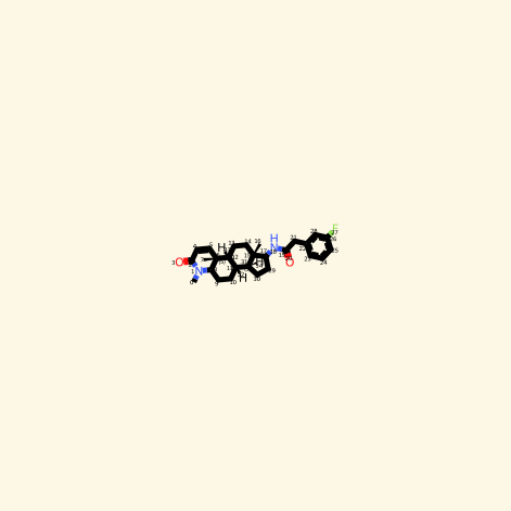 CN1C(=O)C=C[C@@]2(C)C1CC[C@@H]1[C@H]2CC[C@]2(C)C(NC(=O)Cc3cccc(F)c3)CC[C@@H]12